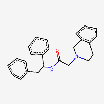 O=C(CN1CCc2ccccc2C1)NC(Cc1ccccc1)c1ccccc1